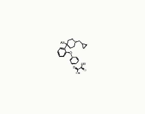 CC(=O)C1(c2ccccc2Oc2ccccc2)CCN(CC2CC2)CC1.O=C(O)C(=O)O